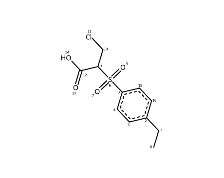 CCc1ccc(S(=O)(=O)C(CCl)C(=O)O)cc1